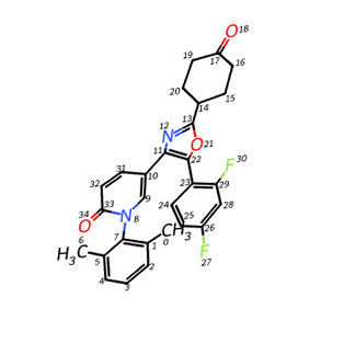 Cc1cccc(C)c1-n1cc(-c2nc(C3CCC(=O)CC3)oc2-c2ccc(F)cc2F)ccc1=O